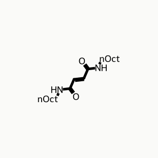 CCCCCCCCNC(=O)C=CC(=O)NCCCCCCCC